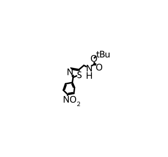 CC(C)(C)OC(=O)NCc1cnc(-c2ccc([N+](=O)[O-])cc2)s1